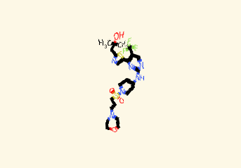 CC(C)(O)Cc1ncc(-c2nc(NC3CCN(S(=O)(=O)CCCN4CCOCC4)CC3)ncc2C(F)(F)F)s1